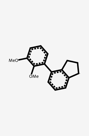 COc1cccc(-c2cccc3c2CC[CH]3)c1OC